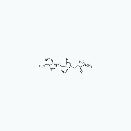 CN(C)C(=O)CCc1c[nH]c2c(Cn3cnc4c(N)ncnc43)cccc12